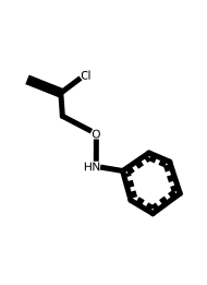 C=C(Cl)CONc1ccccc1